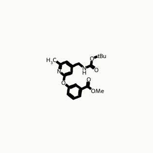 COC(=O)c1cccc(Oc2cc(CNC(=O)OC(C)(C)C)cc(C)n2)c1